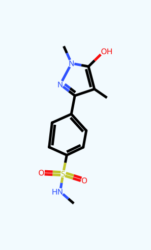 CNS(=O)(=O)c1ccc(-c2nn(C)c(O)c2C)cc1